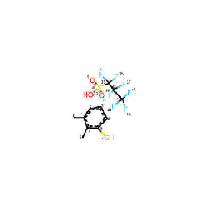 Cc1cccc(S)c1C.O=S(=O)(O)C(F)(F)C(F)(F)C(F)(F)F